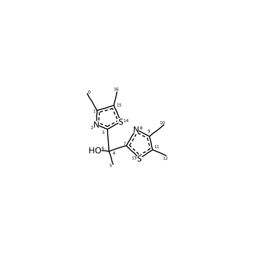 Cc1nc(C(C)(O)c2nc(C)c(C)s2)sc1C